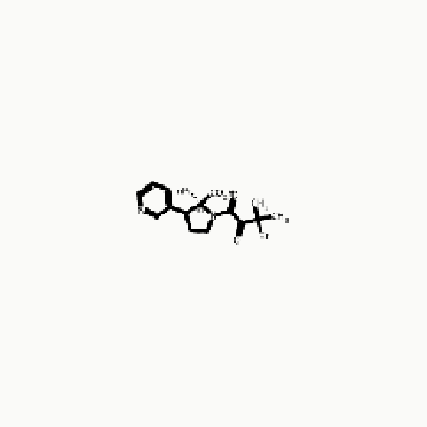 CCC[C@@]1(C(=O)O)C(c2cccnc2)CCN1C(=O)C(=O)C(C)(C)CC